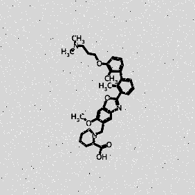 COc1cc2oc(-c3cccc(-c4cccc(OCCCN(C)C)c4C)c3C)nc2cc1CN1CCCCC1C(=O)O